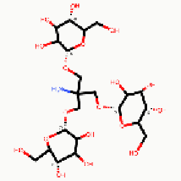 NC(CO[C@H]1OC(CO)[C@@H](O)C(O)C1O)(CO[C@H]1OC(CO)[C@@H](O)C(O)C1O)CO[C@H]1OC(CO)[C@@H](O)C(O)C1O